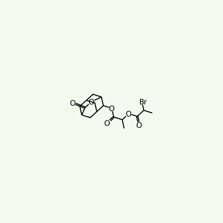 CC(Br)C(=O)OC(C)C(=O)OC1C2CC3CC(C2)C(=O)OC1C3